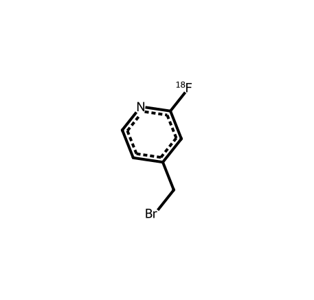 [18F]c1cc(CBr)ccn1